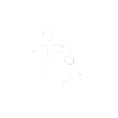 CCCCCCC(CCC)C1(c2ccc(-c3ccc(O[C@@H](C)CCCC)cc3F)nc2)CCCCC1